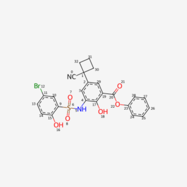 N#CC1(c2cc(NS(=O)(=O)c3cc(Br)ccc3O)c(O)c(C(=O)Oc3ccccc3)c2)CCC1